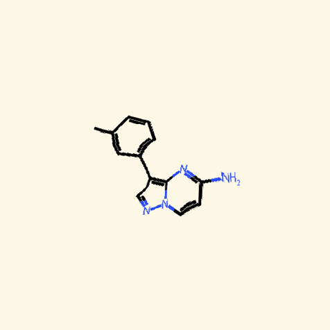 Cc1cccc(-c2cnn3ccc(N)nc23)c1